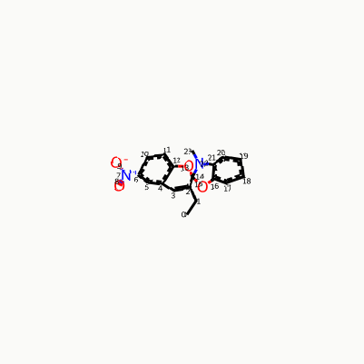 CCC1=Cc2cc([N+](=O)[O-])ccc2OC12Oc1ccccc1N2C